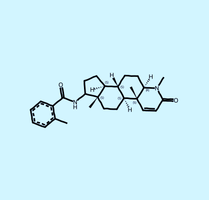 Cc1ccccc1C(=O)NC1CC[C@H]2[C@@H]3CC[C@H]4N(C)C(=O)C=C[C@]4(C)[C@H]3CC[C@]12C